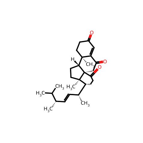 CC(C)[C@@H](C)/C=C/[C@@H](C)[C@H]1CCC(=O)[C@]23CC(=O)C4=CC(=O)CC[C@]4(C)[C@H]2CC[C@]13C